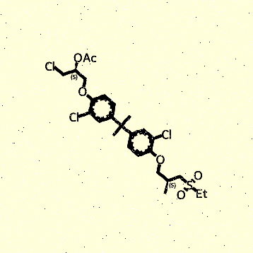 CCS(=O)(=O)C[C@@H](C)COc1ccc(C(C)(C)c2ccc(OC[C@@H](CCl)OC(C)=O)c(Cl)c2)cc1Cl